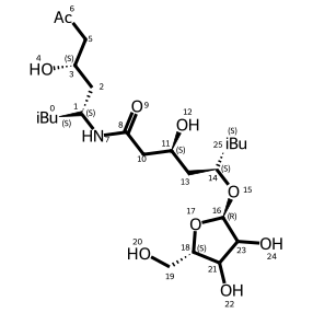 CC[C@H](C)[C@H](C[C@H](O)CC(C)=O)NC(=O)C[C@@H](O)C[C@H](O[C@@H]1O[C@@H](CO)C(O)C1O)[C@@H](C)CC